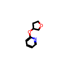 c1ccc(OC2CCOC2)nc1